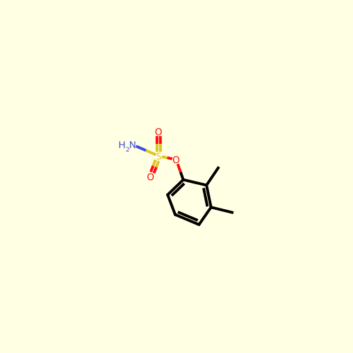 Cc1cccc(OS(N)(=O)=O)c1C